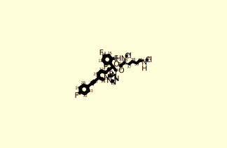 O=C(OC(Cn1cnnn1)(c1ccc(F)cc1F)C(F)(F)c1ccc(C#Cc2ccc(F)cc2)cn1)[C@H](CCCCNCl)NCl